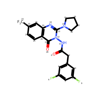 O=C(Cc1cc(F)cc(F)c1)Nn1c(N2CCCC2)nc2cc(C(F)(F)F)ccc2c1=O